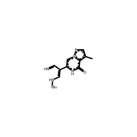 Cc1cnn2cc(/C(C=N)=C/NC(C)(C)C)[nH]c(=O)c12